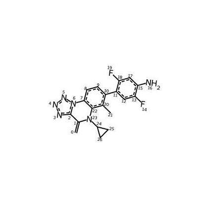 C=C1c2nnnn2-c2ccc(-c3cc(F)c(N)cc3F)c(C)c2N1C1CC1